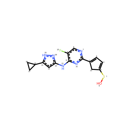 OSC1=CC=C(c2ncc(F)c(Nc3cc(C4CC4)[nH]n3)n2)C1